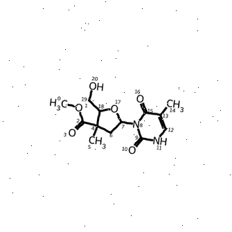 COC(=O)C1(C)CC(n2c(=O)[nH]cc(C)c2=O)OC1CO